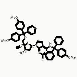 C#C[C@]1(COC(c2ccccc2)(c2ccc(OC)cc2)c2ccc(OC)cc2)O[C@@H](n2ccc3c(NC(c4ccccc4)(c4ccccc4)c4ccc(OC)cc4)nc(Cl)nc32)C[C@@H]1O